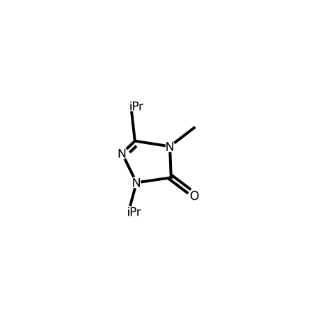 CC(C)c1nn(C(C)C)c(=O)n1C